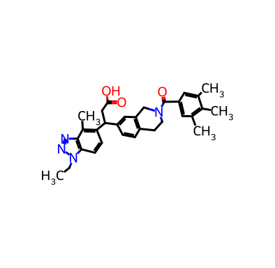 CCn1nnc2c(C)c(C(CC(=O)O)c3ccc4c(c3)CN(C(=O)c3cc(C)c(C)c(C)c3)CC4)ccc21